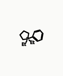 CCP1(CC)(c2ccccc2)CCCC1